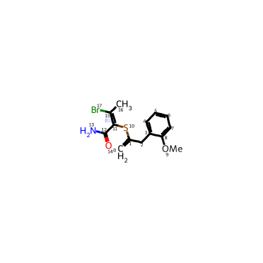 C=C(Cc1ccccc1OC)S/C(C(N)=O)=C(\C)Br